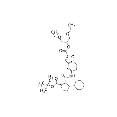 CCOCC(COCC)OC(=O)c1cc2cc(NC(=O)[C@@H]3[C@H](C4CCCCC4)CCN3C(=O)OC(C)(C)C)ccc2o1